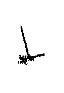 CC#CC#CC#CC#CC#CC#CC#CC#CC#CC#CC#CC#CC(=O)N[C@@H](CCC1OC(CO)C(O)C(SOOO)C1O)[C@H](O)/C=C/CCCCCCCCCCCCC